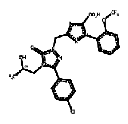 O=C(O)c1nc(Cn2nc(-c3ccc(Cl)cc3)n(C[C@H](O)C(F)(F)F)c2=O)nn1-c1ccccc1OC(F)(F)F